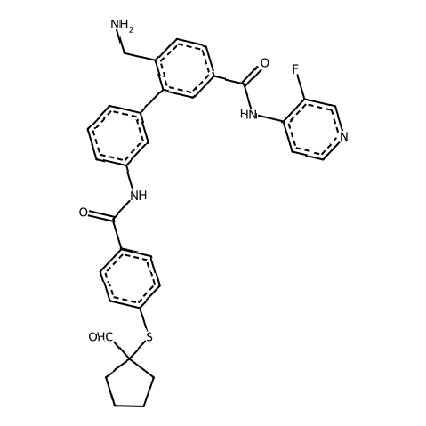 NCc1ccc(C(=O)Nc2ccncc2F)cc1-c1cccc(NC(=O)c2ccc(SC3(C=O)CCCC3)cc2)c1